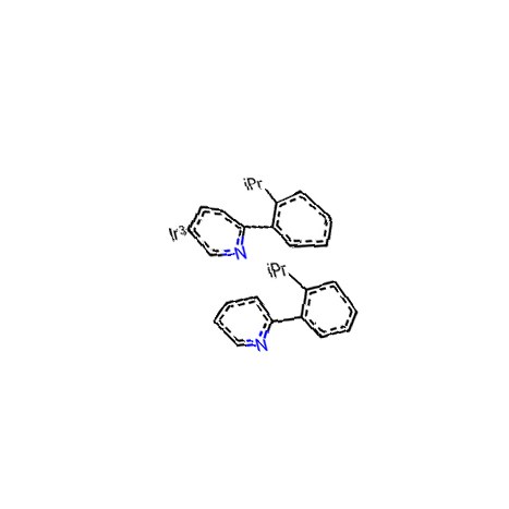 CC(C)c1ccccc1-c1ccccn1.CC(C)c1ccccc1-c1ccccn1.[Ir+3]